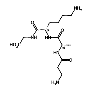 C[C@H](NC(=O)CCN)C(=O)N[C@@H](CCCCN)C(=O)NCC(=O)O